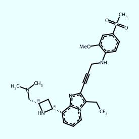 COc1cc(S(C)(=O)=O)ccc1NCC#Cc1nc2c([C@H]3C[C@@H](CN(C)C)N3)cccn2c1CC(F)(F)F